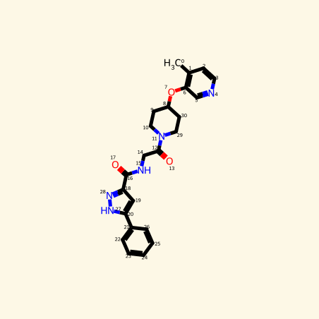 Cc1ccncc1OC1CCN(C(=O)CNC(=O)c2cc(-c3ccccc3)[nH]n2)CC1